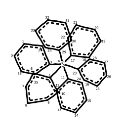 c1ccc(S(c2ccccc2)(c2ccccc2)(c2ccccc2)(c2ccccc2)c2ccccc2)cc1